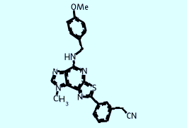 COc1ccc(CNc2nc3sc(-c4cccc(CC#N)c4)nc3c3c2ncn3C)cc1